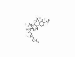 CCN1CCC[C@@H](Nc2nnc(-c3ccc(C(F)(F)F)cc3OC)c(=O)n2C)C1